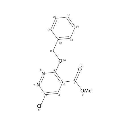 COC(=O)c1cc(Cl)nnc1OCc1ccccc1